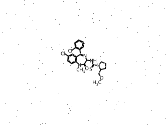 COCC1CCCN1C(=S)NC1N=C(c2ccccc2Cl)c2cc(Cl)ccc2N(C)C1=O